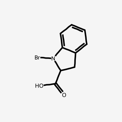 O=C(O)C1Cc2ccccc2N1Br